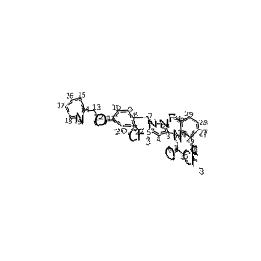 O=C(N(c1ccn(Cc2ccc(OCc3ccccn3)cc2C(F)(F)F)n1)c1c(F)cccc1F)C(F)(F)F